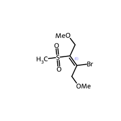 COC/C(Br)=C(/COC)S(C)(=O)=O